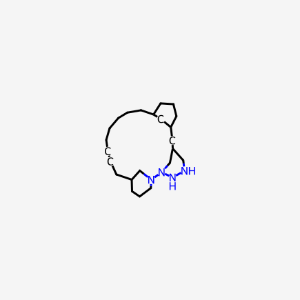 C1CCCCC2CCCN(C2)N2CC(CNN2)CC2CCCC(CCC1)C2